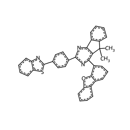 CC1(C)c2ccccc2-c2nc(-c3ccc(-c4nc5ccccc5s4)cc3)nc(-c3cccc4c3oc3ccccc34)c21